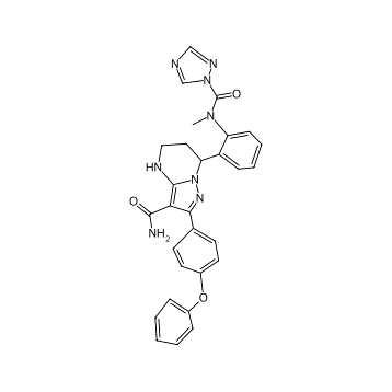 CN(C(=O)n1cncn1)c1ccccc1C1CCNc2c(C(N)=O)c(-c3ccc(Oc4ccccc4)cc3)nn21